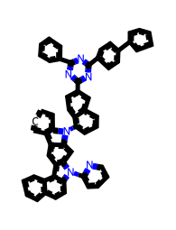 c1ccc(-c2ccc(-c3nc(-c4ccccc4)nc(-c4ccc5c(-n6c7ccccc7c7cc8c9c%10ccccc%10ccc9n(-c9ccccn9)c8cc76)cccc5c4)n3)cc2)cc1